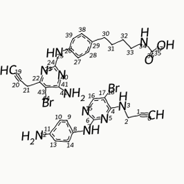 C#CCNc1nc(Nc2ccc(N)cc2)ncc1Br.C#CCc1nc(Nc2ccc(CCCCNC(=O)O)cc2)nc(N)c1Br